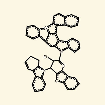 CCC1C(n2c3ccccc3c3c4c5c6ccccc6ccc5n5c6ccccc6c(cc32)c45)=Nc2c(oc3ccccc23)C1n1c2c(c3ccccc31)C=CCC2